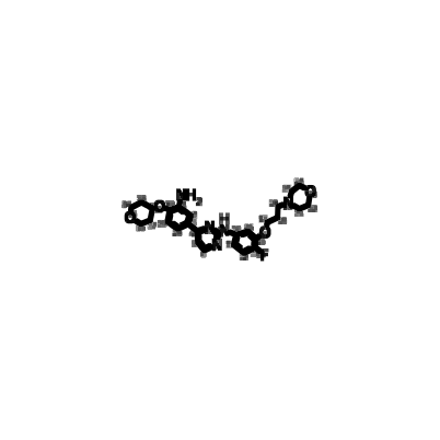 Nc1cc(-c2ccnc(Nc3ccc(F)c(OCCCN4CCOCC4)c3)n2)ccc1OC1CCOCC1